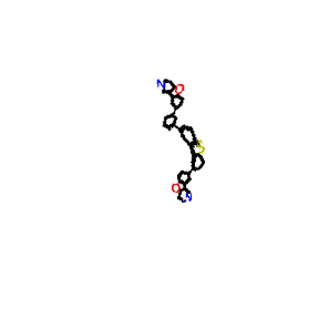 c1cc(-c2ccc3oc4ccncc4c3c2)cc(-c2ccc3sc4ccc(-c5ccc6oc7ccncc7c6c5)cc4c3c2)c1